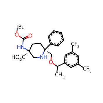 CC(OC[C@@]1(c2ccccc2)CC[C@@](NC(=O)OC(C)(C)C)(C(=O)O)CN1)c1cc(C(F)(F)F)cc(C(F)(F)F)c1